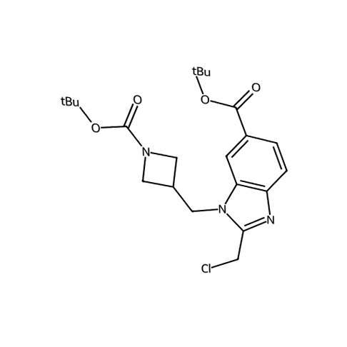 CC(C)(C)OC(=O)c1ccc2nc(CCl)n(CC3CN(C(=O)OC(C)(C)C)C3)c2c1